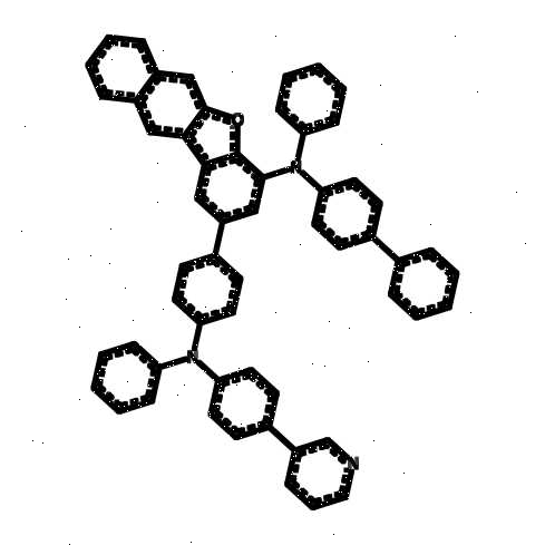 c1ccc(-c2ccc(N(c3ccccc3)c3cc(-c4ccc(N(c5ccccc5)c5ccc(-c6cccnc6)cc5)cc4)cc4c3oc3cc5ccccc5cc34)cc2)cc1